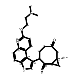 CN(C)CCOc1ccc2c(ccc3occ(C4CCC(=O)C[C@H]5CC5C4=O)c32)n1